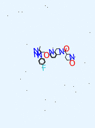 Cc1nnn(-c2ccc(F)cc2)c1COc1ccc2c(n1)CCN(C(=O)C1CCC(=O)N(C)C1)C2